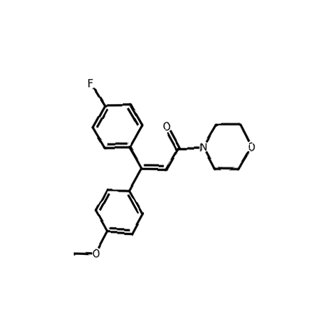 COc1ccc(C(=CC(=O)N2CCOCC2)c2ccc(F)cc2)cc1